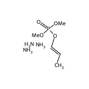 CC=COP(=O)(OC)OC.N.N.N